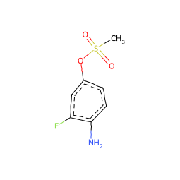 CS(=O)(=O)Oc1ccc(N)c(F)c1